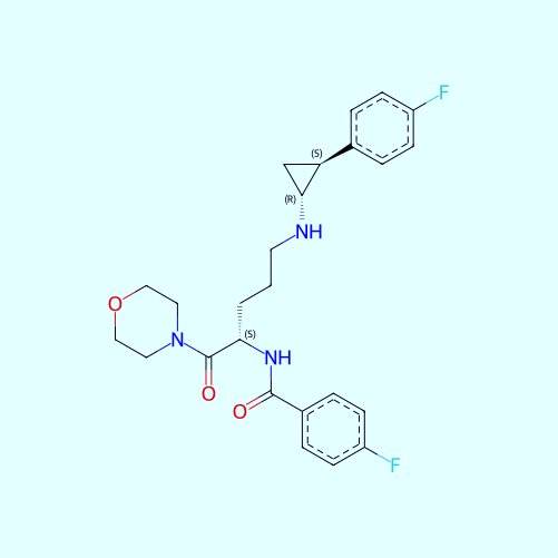 O=C(N[C@@H](CCCN[C@@H]1C[C@H]1c1ccc(F)cc1)C(=O)N1CCOCC1)c1ccc(F)cc1